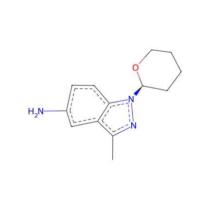 Cc1nn([C@@H]2CCCCO2)c2ccc(N)cc12